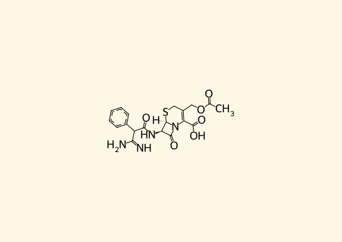 CC(=O)OCC1=C(C(=O)O)N2C(=O)[C@@H](NC(=O)C(C(=N)N)c3ccccc3)[C@H]2SC1